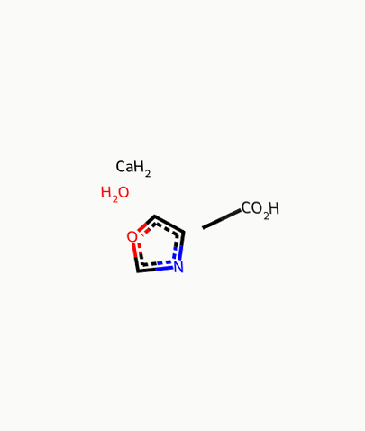 CC(=O)O.O.[CaH2].c1cocn1